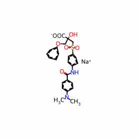 CN(C)c1ccc(C(=O)Nc2ccc(S(=O)(=O)CC(O)(COc3ccccc3)C(=O)[O-])cc2)cc1.[Na+]